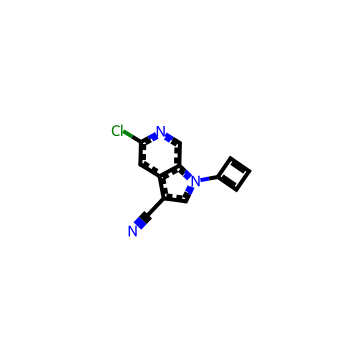 N#Cc1cn(C2=CC=C2)c2cnc(Cl)cc12